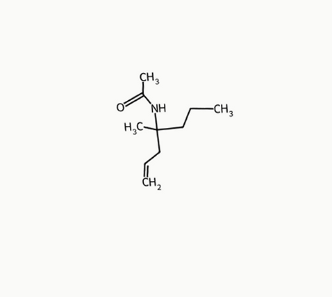 C=CCC(C)(CCC)NC(C)=O